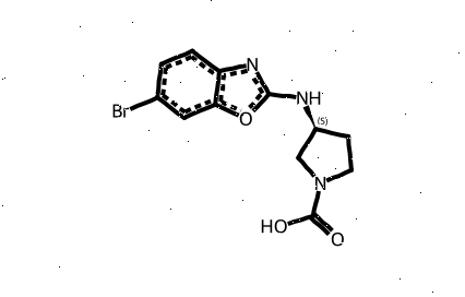 O=C(O)N1CC[C@H](Nc2nc3ccc(Br)cc3o2)C1